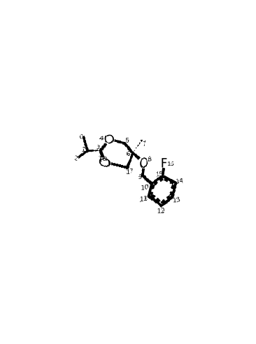 CC(C)[C@H]1OC[C@@](C)(OCc2ccccc2F)CO1